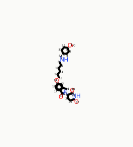 CO[C@H]1CC[C@H](CNCCCCCCOc2ccc3c(c2)CN(C2CCC(=O)NC2=O)C3=O)CC1